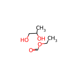 CC(O)CO.CCOC=O